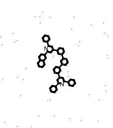 c1ccc(-c2cc(-c3cccc(-c4cccc(-c5cccc(-c6cc(-c7ccccc7)nc(-c7ccc8ccccc8c7)c6)c5)c4)c3)cc(-c3ccccc3)n2)cc1